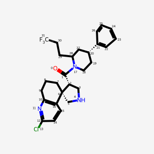 O=C([C@@H]1CNC[C@]12CCCc1nc(Cl)ccc12)N1CC[C@@H](c2ccccc2)CC1CCC(F)(F)F